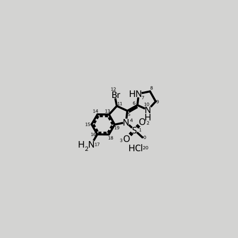 CS(=O)(=O)N1C(=C2NCCN2)C(Br)c2ccc(N)cc21.Cl